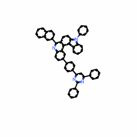 c1ccc(-c2cc(-c3ccc(-c4ccc5nc(-c6ccc7ccccc7c6)c6ccc7c(c8ccccc8n7-c7ccccc7)c6c5c4)cc3)nc(-c3ccccc3)n2)cc1